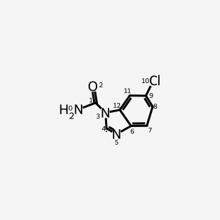 NC(=O)n1[c]nc2ccc(Cl)cc21